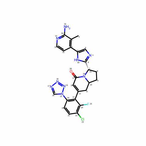 Cc1c(-c2cnc([C@@H]3CCC4CC(c5c(-n6cnnn6)ccc(Cl)c5F)=CC(=O)N43)[nH]2)ccnc1N